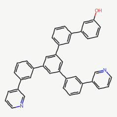 Oc1cccc(-c2cccc(-c3cc(-c4cccc(-c5cccnc5)c4)cc(-c4cccc(-c5cccnc5)c4)c3)c2)c1